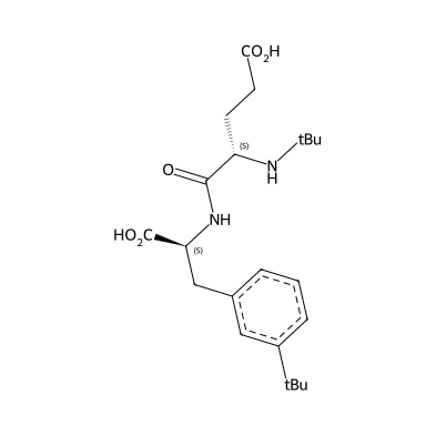 CC(C)(C)N[C@@H](CCC(=O)O)C(=O)N[C@@H](Cc1cccc(C(C)(C)C)c1)C(=O)O